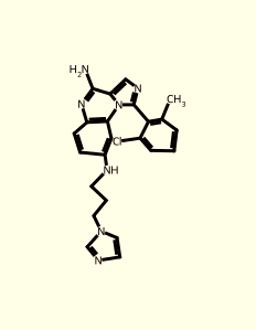 Cc1cccc(Cl)c1-c1ncc2c(N)nc3ccc(NCCCn4ccnc4)cc3n12